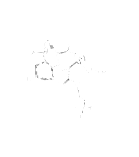 COCC1=C(C(=O)OCCC(F)(F)F)C(c2ccc(F)cc2C(F)(F)F)C(C#N)=C(C)N1